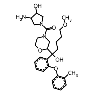 COCCCCC(O)(c1ccccc1Oc1ccccc1C)C1CN(C(=O)N2CC(N)C(O)C2)CCO1